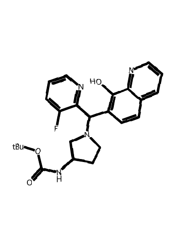 CC(C)(C)OC(=O)NC1CCN(C(c2ccc3cccnc3c2O)c2ncccc2F)C1